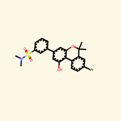 CC(C)c1ccc2c(c1)C(C)(C)Oc1cc(-c3cccc(S(=O)(=O)N(C)C)c3)cc(O)c1-2